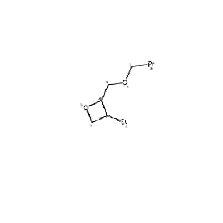 CC[C]1COC1COCC(C)C